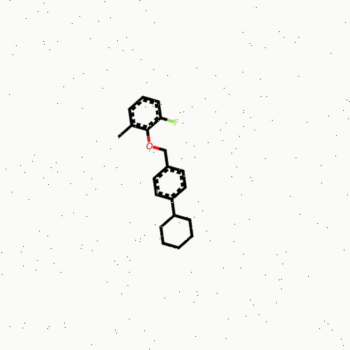 Cc1cccc(F)c1OCc1ccc(C2CCCCC2)cc1